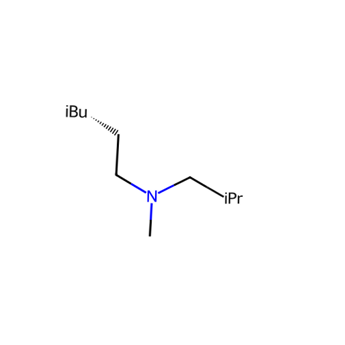 CC[C@@H](C)CCN(C)CC(C)C